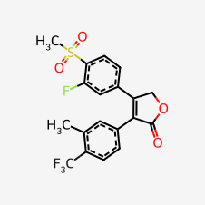 Cc1cc(C2=C(c3ccc(S(C)(=O)=O)c(F)c3)COC2=O)ccc1C(F)(F)F